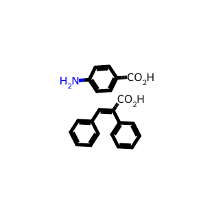 Nc1ccc(C(=O)O)cc1.O=C(O)C(=Cc1ccccc1)c1ccccc1